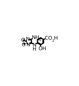 NC1=NS(=O)(=O)N=C1Nc1ccc(C(=O)O)cc1O